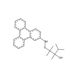 CC(C)C(C)(O)C(C)(C)OBc1ccc2c3ccccc3c3ccccc3c2c1